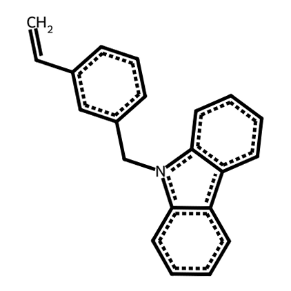 C=Cc1cccc(Cn2c3ccccc3c3ccccc32)c1